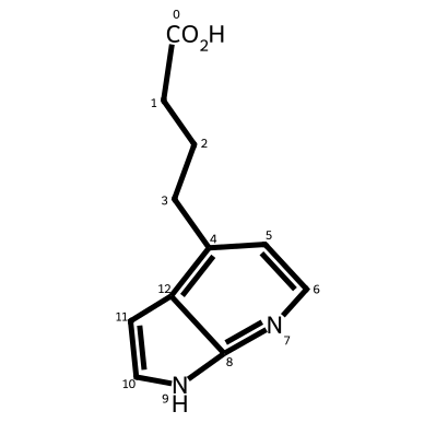 O=C(O)CCCc1ccnc2[nH]ccc12